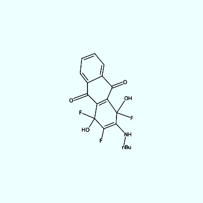 CCCCNC1=C(F)C(O)(F)C2=C(C(=O)c3ccccc3C2=O)C1(O)F